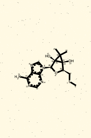 CSC[C@H]1O[C@@H](n2cnc3c(N)ncnc32)[C@]2(O)C(C)(C)[C@]12O